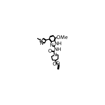 C#CCC1(O)CCN(C(=O)Nc2nc3c(-c4cnn(C)c4)ccc(OC)c3[nH]2)CC1